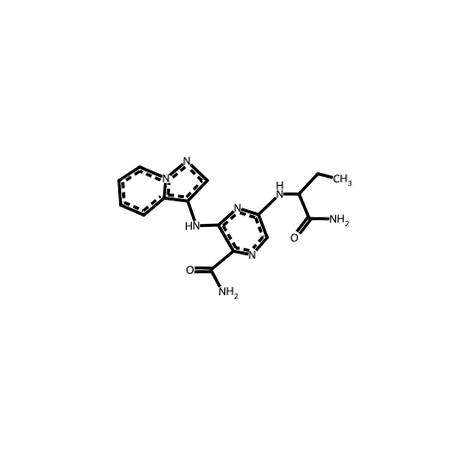 CCC(Nc1cnc(C(N)=O)c(Nc2cnn3ccccc23)n1)C(N)=O